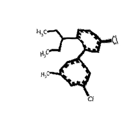 CCC(CC)c1ccc(Cl)cc1-c1cc(C)cc(Cl)c1